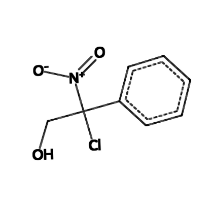 O=[N+]([O-])C(Cl)(CO)c1ccccc1